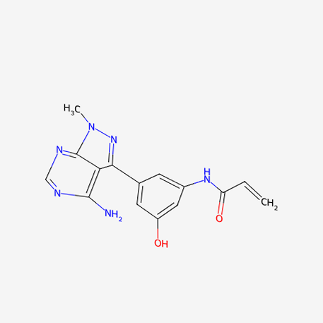 C=CC(=O)Nc1cc(O)cc(-c2nn(C)c3ncnc(N)c23)c1